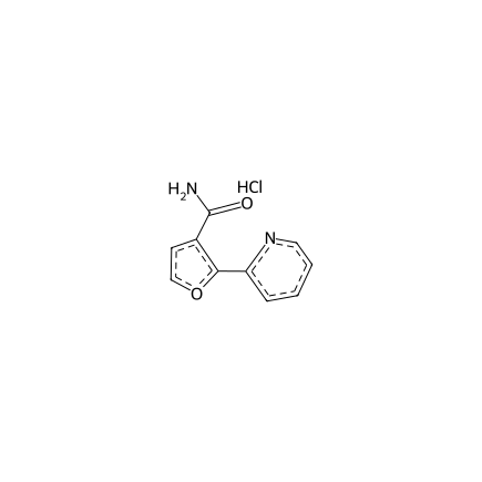 Cl.NC(=O)c1ccoc1-c1ccccn1